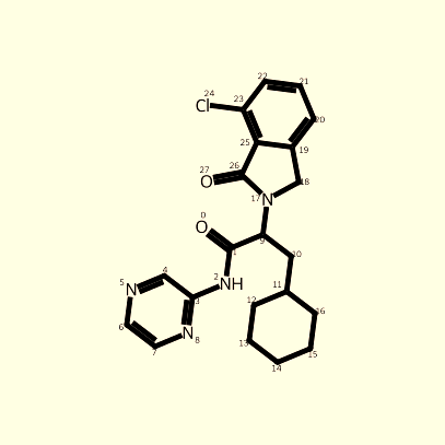 O=C(Nc1cnccn1)C(CC1CCCCC1)N1Cc2cccc(Cl)c2C1=O